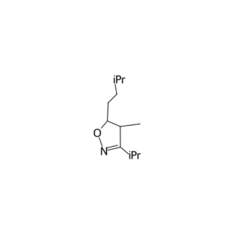 CC(C)CCC1ON=C(C(C)C)C1C